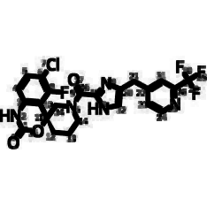 O=C1Nc2ccc(Cl)c(F)c2[C@@]2(CCCN(C(=O)c3nc(Cc4ccnc(C(F)(F)F)c4)c[nH]3)C2)O1